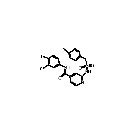 Cc1ccc(CS(=O)(=O)Nc2cc(C(=O)Nc3ccc(F)c(Cl)c3)ccn2)cc1